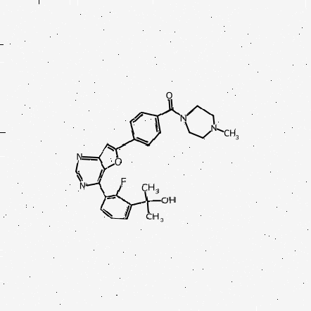 CN1CCN(C(=O)c2ccc(-c3cc4ncnc(-c5cccc(C(C)(C)O)c5F)c4o3)cc2)CC1